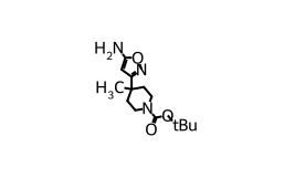 CC(C)(C)OC(=O)N1CCC(C)(c2cc(N)on2)CC1